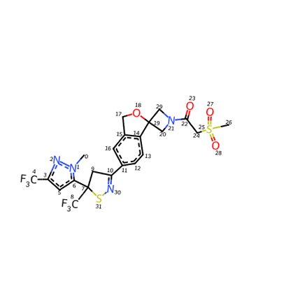 Cn1nc(C(F)(F)F)cc1C1(C(F)(F)F)CC(c2ccc3c(c2)COC32CN(C(=O)CS(C)(=O)=O)C2)=NS1